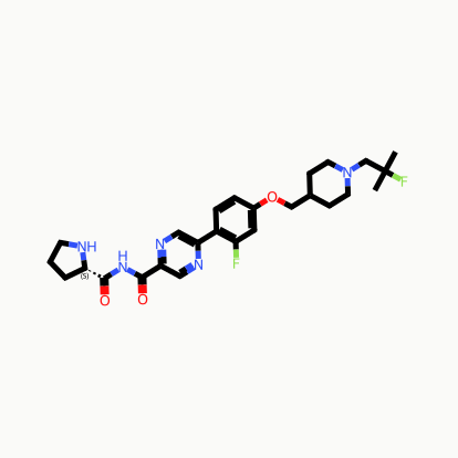 CC(C)(F)CN1CCC(COc2ccc(-c3cnc(C(=O)NC(=O)[C@@H]4CCCN4)cn3)c(F)c2)CC1